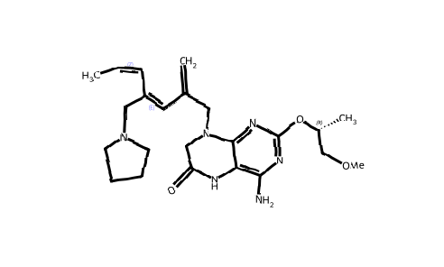 C=C(/C=C(\C=C/C)CN1CCCC1)CN1CC(=O)Nc2c(N)nc(O[C@H](C)COC)nc21